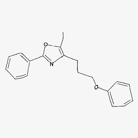 Cc1oc(-c2ccccc2)nc1CCCOc1ccccc1